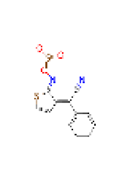 N#C/C(=C1/C=CS/C1=N\O[SH](=O)=O)c1ccccc1